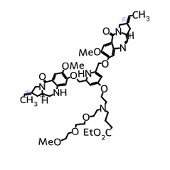 C/C=C1\C[C@H]2CNc3cc(OCC4C=C(OCCN(CCCC(=O)OCC)CCOCCOCCOC)C=C(COc5cc6c(cc5OC)C(=O)N5C/C(=C/C)C[C@H]5C=N6)N4)c(OC)cc3C(=O)N2C1